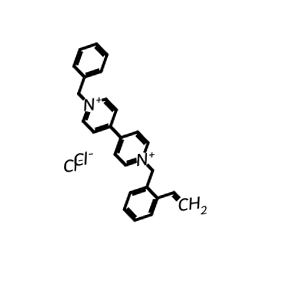 C=Cc1ccccc1C[n+]1ccc(-c2cc[n+](Cc3ccccc3)cc2)cc1.[Cl-].[Cl-]